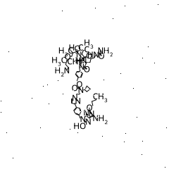 CCCCOc1nc(N)c2nc(O)n(Cc3ccc(-c4ccn(CCN(C(=O)OCc5ccc(NC(=O)[C@H](CCCNC(N)=O)NC(=O)C(NC(=O)C(C)COC(C)(C)CCN)C(C)C)cc5)C5CCC5)n4)cc3)c2n1